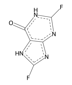 O=c1[nH]c(F)nc2nc(F)[nH]c12